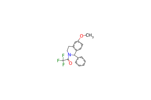 COc1ccc2c(c1)CCN(C(=O)C(F)(F)F)C2c1ccccc1